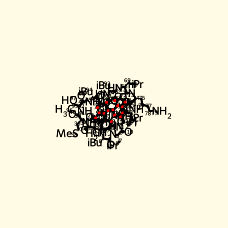 CC[C@H](C)[C@H](N)C(=O)N[C@@H](CC(C)C)C(=O)N[C@H](C(=O)N[C@@H](CC(N)=O)C(=O)N[C@@H](CC(C)C)C(=O)N[C@@H](C)C(=O)N[C@@H](CCSC)C(=O)N[C@H](C(=O)N[C@H](C(=O)N[C@@H](Cc1c[nH]c2ccccc12)C(=O)N[C@H](C(=O)N[C@@H](CC(C)C)C(=O)N[C@@H](CCCCN)C(=O)N[C@H](C(=O)N[C@@H](CCSC)C(=O)O)C(C)C)[C@@H](C)CC)[C@@H](C)CC)[C@@H](C)O)C(C)C